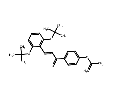 C=C(C)Oc1ccc(C(=O)/C=C/c2c(OC(C)(C)C)cccc2OC(C)(C)C)cc1